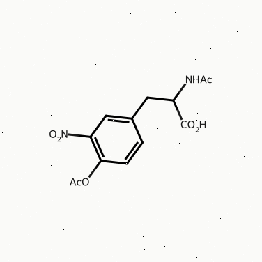 CC(=O)NC(Cc1ccc(OC(C)=O)c([N+](=O)[O-])c1)C(=O)O